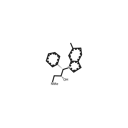 CNC[C@@H](O)[C@H](c1ccccc1)n1ccc2ccc(C)cc21